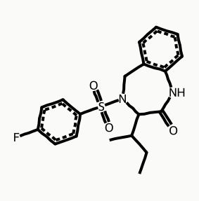 CCC(C)C1C(=O)Nc2ccccc2CN1S(=O)(=O)c1ccc(F)cc1